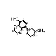 Cc1ccc(N2CCNC(N)C2)c2c1OCCO2